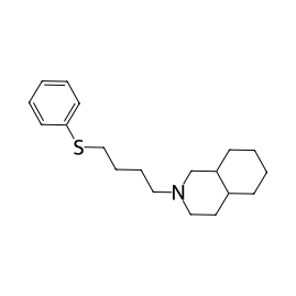 c1ccc(SCCCCN2CCC3CCCCC3C2)cc1